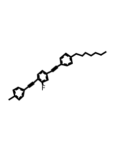 CCCCCCCc1ccc(C#Cc2ccc(C#Cc3ccc(C)cc3)c(F)c2)cc1